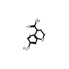 Cc1ccc2c(c1)OCCC2C(=O)O